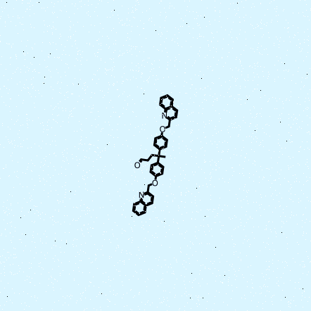 CC(CCC=O)(c1ccc(OCc2ccc3ccccc3n2)cc1)c1ccc(OCc2ccc3ccccc3n2)cc1